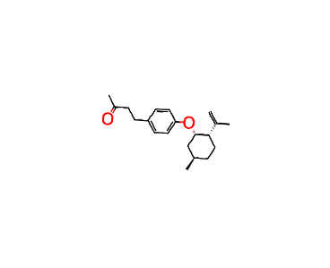 C=C(C)[C@@H]1CC[C@@H](C)C[C@@H]1Oc1ccc(CCC(C)=O)cc1